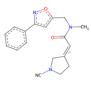 CN(Cc1cc(-c2ccccc2)no1)C(=O)/C=C1/CCN(C#N)C1